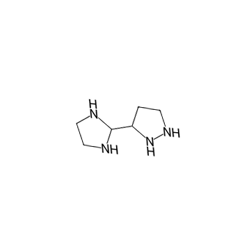 C1CC(C2NCCN2)NN1